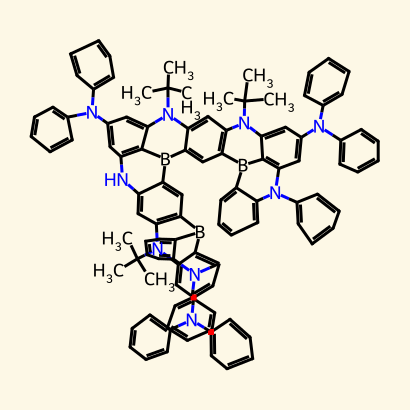 CC(C)(C)N1c2cc3c(cc2B2c4cc5c(cc4Nc4cc(N(c6ccccc6)c6ccccc6)cc1c42)N(C(C)(C)C)c1cc(N(c2ccccc2)c2ccccc2)cc2c1B5c1ccccc1N2c1ccccc1)B1c2ccccc2N(c2ccccc2)c2cc(N(c4ccccc4)c4ccccc4)cc(c21)N3C(C)(C)C